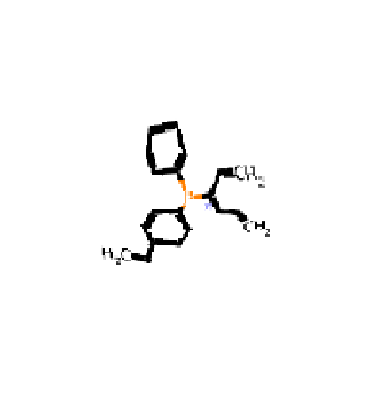 C=C/C=C(\C=C)P(c1ccccc1)c1ccc(C=C)cc1